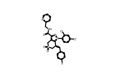 O=C(NCc1ccccn1)c1nn(-c2ccc(Cl)cc2Cl)c2c1CS(=O)(=O)C/C2=C\c1ccc(F)cc1